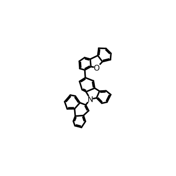 c1ccc2c(c1)cc(-n1c3ccccc3c3cc(-c4cccc5c4oc4ccccc45)ccc31)c1ccccc12